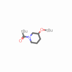 CC(C)(C)OC1CCCN(C(=O)C(C)(C)C)C1